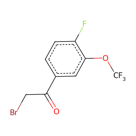 O=C(CBr)c1ccc(F)c(OC(F)(F)F)c1